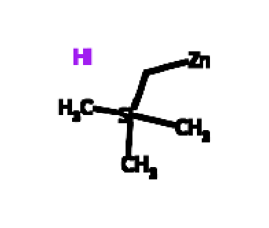 C[Si](C)(C)[CH2][Zn].I